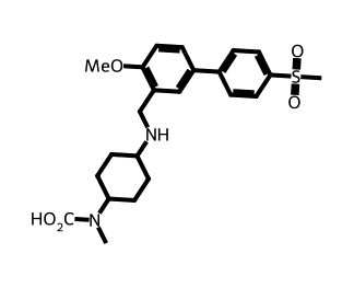 COc1ccc(-c2ccc(S(C)(=O)=O)cc2)cc1CNC1CCC(N(C)C(=O)O)CC1